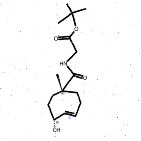 CC(C)(C)OC(=O)CNC(=O)[C@]1(C)CC/C=C/[C@H](O)CC1